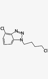 ClCCCCn1nnc2c(Cl)cccc21